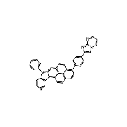 c1ccc(-n2c3ccncc3c3c4ccc5ccc(-c6ccc(-c7cn8cccnc8n7)cc6)c6ccc(cc32)c4c56)cc1